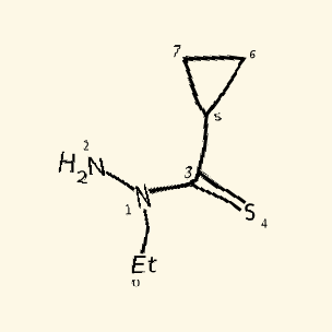 CCN(N)C(=S)C1CC1